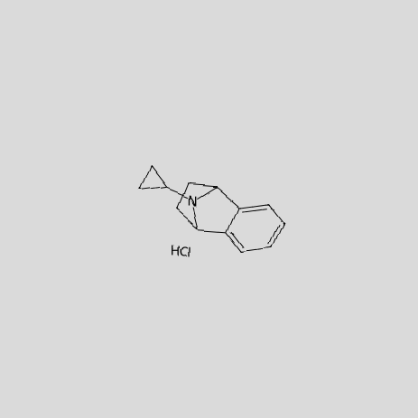 Cl.c1ccc2c(c1)C1CCC2N1C1CC1